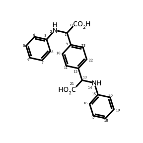 O=C(O)C(Nc1ccccc1)c1ccc(C(Nc2ccccc2)C(=O)O)cc1